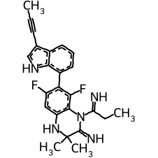 CC#Cc1c[nH]c2c(-c3c(F)cc4c(c3F)N(C(=N)CC)C(=N)C(C)(C)N4)cccc12